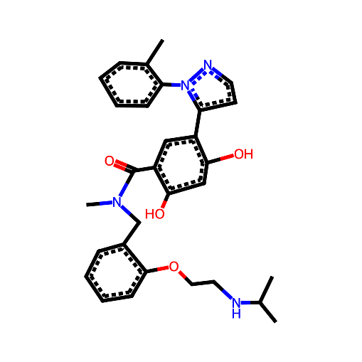 Cc1ccccc1-n1nccc1-c1cc(C(=O)N(C)Cc2ccccc2OCCNC(C)C)c(O)cc1O